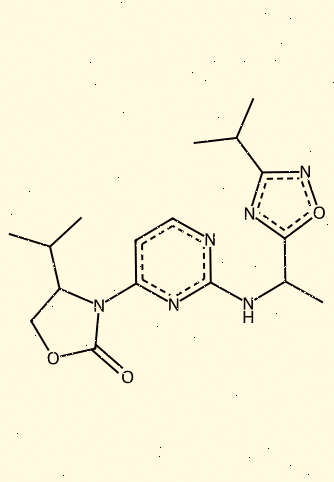 CC(C)c1noc(C(C)Nc2nccc(N3C(=O)OCC3C(C)C)n2)n1